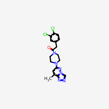 Cc1cc(N2CCN(C(=O)Cc3ccc(Cl)c(Cl)c3)CC2)nn2cnnc12